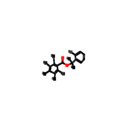 [2H]c1ccccc1C([2H])([2H])OC(=O)c1c([2H])c([2H])c([2H])c([2H])c1[2H]